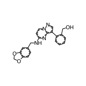 OCc1ccccc1-c1cnn2ccc(NCc3ccc4c(c3)OCO4)nc12